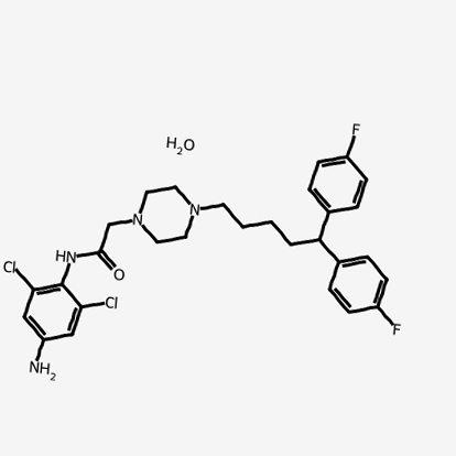 Nc1cc(Cl)c(NC(=O)CN2CCN(CCCCC(c3ccc(F)cc3)c3ccc(F)cc3)CC2)c(Cl)c1.O